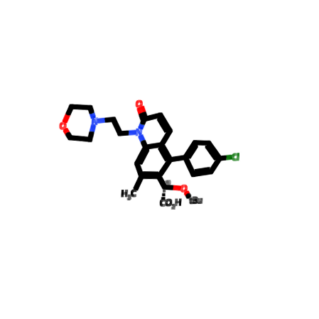 Cc1cc2c(ccc(=O)n2CCN2CCOCC2)c(-c2ccc(Cl)cc2)c1[C@H](OC(C)(C)C)C(=O)O